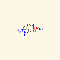 C=C(Nc1cc(-c2cccs2)ccc1N)c1ccc(NC(=O)OCCN2CCCC2)cc1